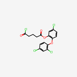 O=C(Cl)CCCC(=O)Oc1cc(Cl)ccc1Oc1ccc(Cl)cc1Cl